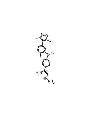 CCN(c1ccc(/C(N)=C/NN)cc1)c1cc(-c2c(C)noc2C)ccc1C